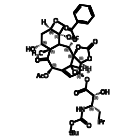 CC(=O)O[C@H]1C(=O)[C@@]2(C)C([C@H](OC(=O)c3ccccc3)[C@]34OC(=O)O[C@H]3[C@H](OC(=O)[C@H](O)[C@H](CC(C)C)NC(=O)OC(C)(C)C)C=C1C4(C)C)[C@]1(OC(C)=O)CO[C@@H]1C[C@H]2O